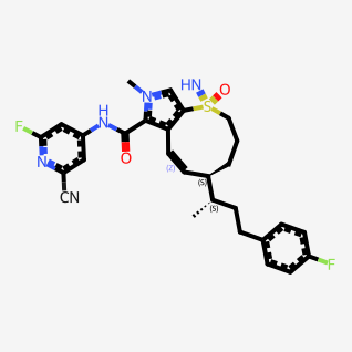 C[C@@H](CCc1ccc(F)cc1)[C@H]1/C=C\c2c(cn(C)c2C(=O)Nc2cc(F)nc(C#N)c2)S(=N)(=O)CCC1